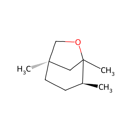 C[C@H]1CC[C@@]2(C)COC1(C)C2